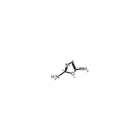 Nc1cnc(N)o1